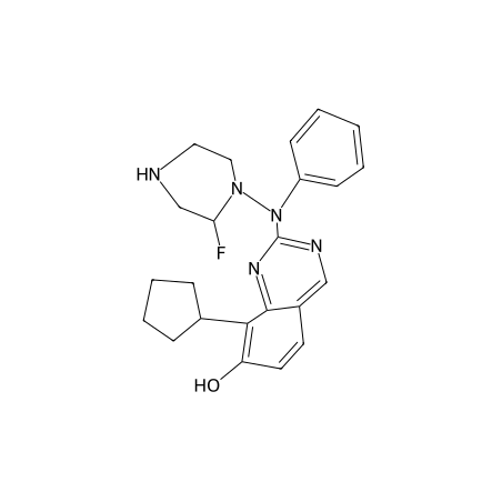 Oc1ccc2cnc(N(c3ccccc3)N3CCNCC3F)nc2c1C1CCCC1